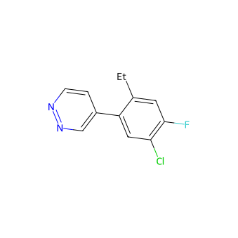 CCc1cc(F)c(Cl)cc1-c1ccnnc1